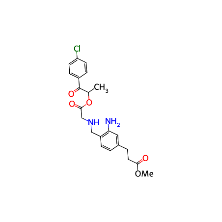 COC(=O)CCc1ccc(CNCC(=O)OC(C)C(=O)c2ccc(Cl)cc2)c(N)c1